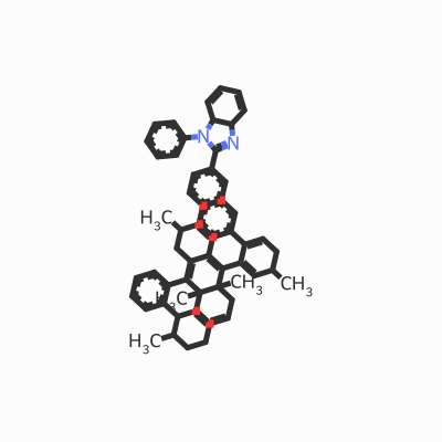 CC1C=C(C2=C3C=C(c4ccc(C5=NC6C=CC=CC6N5c5ccccc5)cc4)C(C)CC3=C(c3ccccc3C3C=CCCC3C)C3(C)CC=CCC23C)C(c2ccccc2)=CC1